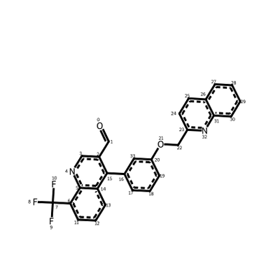 O=Cc1cnc2c(C(F)(F)F)cccc2c1-c1cccc(OCc2ccc3ccccc3n2)c1